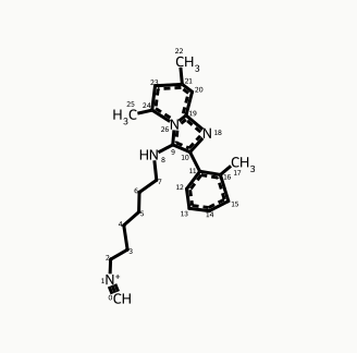 C#[N+]CCCCCCNc1c(-c2ccccc2C)nc2cc(C)cc(C)n12